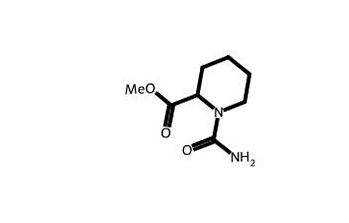 COC(=O)C1CCCCN1C(N)=O